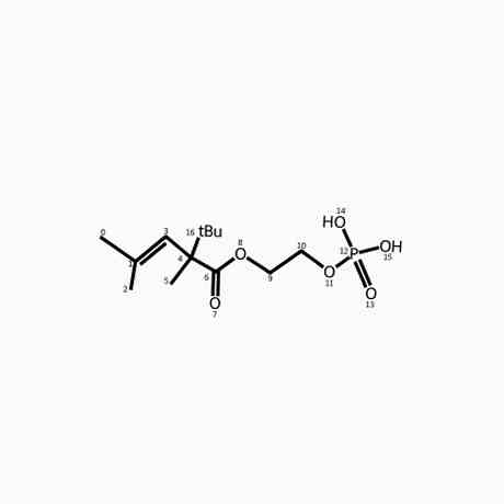 CC(C)=CC(C)(C(=O)OCCOP(=O)(O)O)C(C)(C)C